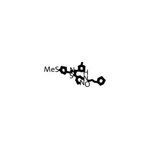 CSc1ccc(-c2nc(-c3cccc(C)c3)c(-c3ccnc(NC(=O)CCc4ccccc4)c3)s2)cc1